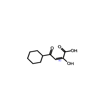 O=C(O)/C(O)=C\C(=O)C1CCCCC1